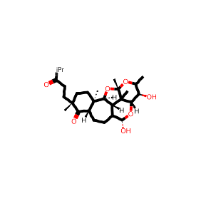 CC(C)C(=O)CC[C@]1(C)CC[C@]2(C)[C@H](CCC3[C@@H]4[C@@H]2O[C@]2(C)OC(C)[C@@H](O)[C@H](O[C@@H]3O)C42C)C1=O